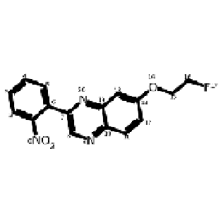 O=[N+]([O-])c1ccccc1-c1cnc2ccc(OCCF)cc2n1